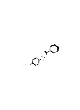 CC(=O)Nc1ccc(S(=O)(=O)NC(=O)C2=CC=C=C=C2)cc1